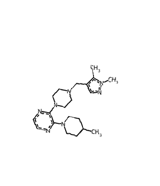 Cc1c(CN2CCN(c3nccnc3N3CCC(C)CC3)CC2)cnn1C